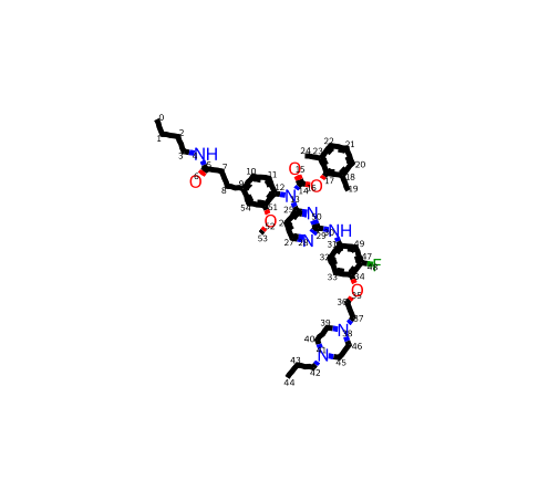 CCCCNC(=O)CCc1ccc(N(C(=O)Oc2c(C)cccc2C)c2ccnc(Nc3ccc(OCCN4CCN(CCC)CC4)c(F)c3)n2)c(OC)c1